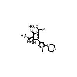 CC(C)C(C(=O)O)n1cc(-c2cc(N3CCOCC3)n(C)n2)c2[nH]nc(N)c2c1=O